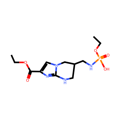 CCOC(=O)c1cn2c(n1)NCC(CNP(=O)(O)OCC)C2